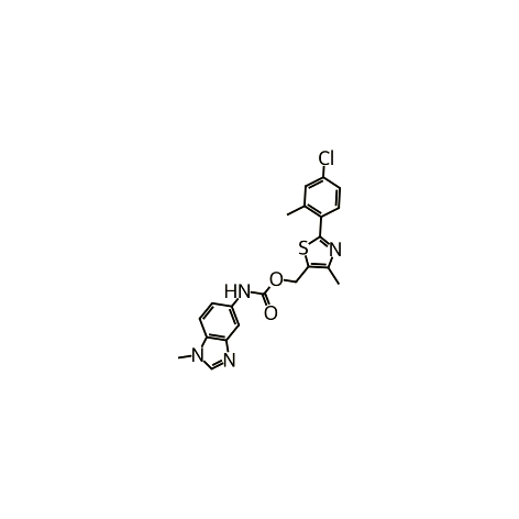 Cc1cc(Cl)ccc1-c1nc(C)c(COC(=O)Nc2ccc3c(c2)ncn3C)s1